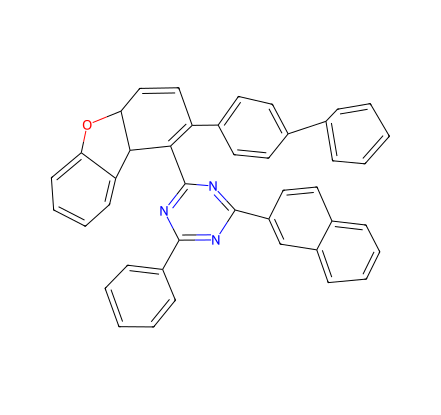 C1=CC2Oc3ccccc3C2C(c2nc(-c3ccccc3)nc(-c3ccc4ccccc4c3)n2)=C1c1ccc(-c2ccccc2)cc1